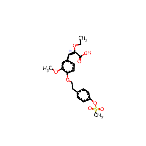 CCO/C(=C/c1ccc(OCCc2ccc(OS(C)(=O)=O)cc2)c(OC)c1)C(=O)O